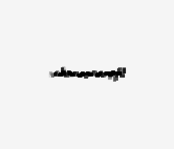 CC(C)OCC(=O)NCCOCCOCCOCCOCC(F)CNC(=O)S